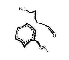 CCCC=O.Nc1ccccc1